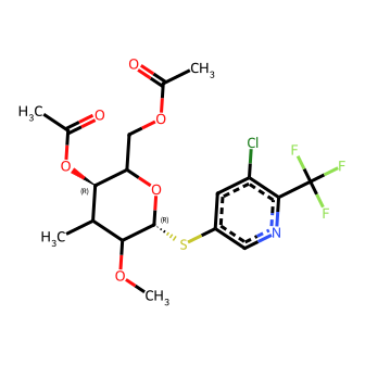 COC1C(C)[C@@H](OC(C)=O)C(COC(C)=O)O[C@@H]1Sc1cnc(C(F)(F)F)c(Cl)c1